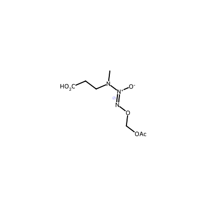 CC(=O)OCO/N=[N+](\[O-])N(C)CCC(=O)O